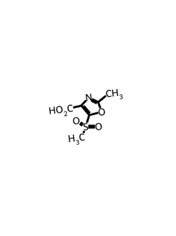 Cc1nc(C(=O)O)c(S(C)(=O)=O)o1